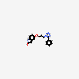 O=C1C=c2cc(OCCCn3nnnc3-c3ccccc3)ccc2=N1